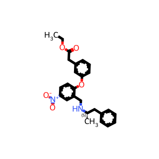 CCOC(=O)Cc1cccc(Oc2ccc([N+](=O)[O-])cc2CN[C@@H](C)Cc2ccccc2)c1